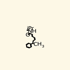 CC(C)CNC(=O)/C=C/C=C\CC(C)c1ccccc1